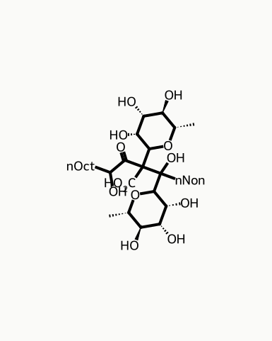 CCCCCCCCCC(O)(C1O[C@@H](C)[C@H](O)[C@@H](O)[C@H]1O)C(C(=O)O)(C(=O)C(O)CCCCCCCC)C1O[C@@H](C)[C@H](O)[C@@H](O)[C@H]1O